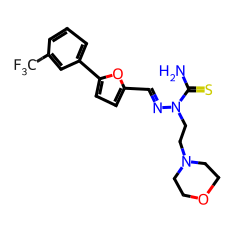 NC(=S)N(CCN1CCOCC1)/N=C/c1ccc(-c2cccc(C(F)(F)F)c2)o1